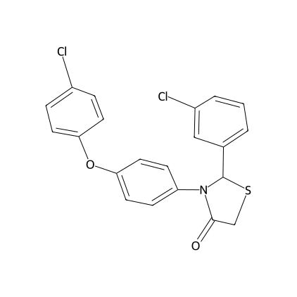 O=C1CSC(c2cccc(Cl)c2)N1c1ccc(Oc2ccc(Cl)cc2)cc1